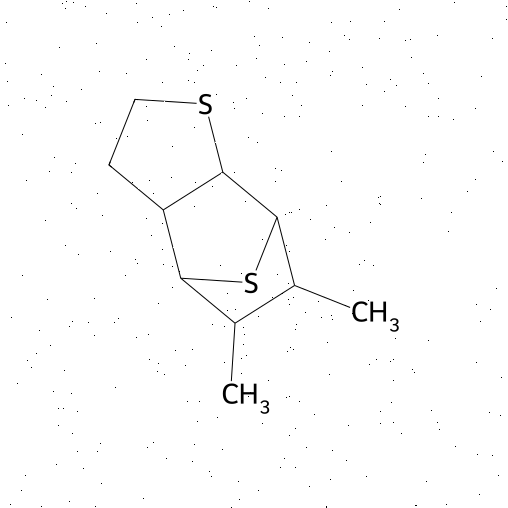 CC1C(C)C2SC1C1CCSC12